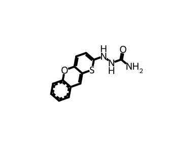 NC(=O)NNC1=CC=C2Oc3ccccc3C=C2S1